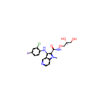 Cn1c(C(=O)NOC[C@H](O)CO)c(Nc2ccc(I)cc2Cl)c2cnccc21